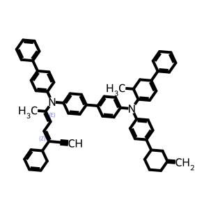 C#C/C(=C\C=C(/C)N(c1ccc(-c2ccccc2)cc1)c1ccc(-c2ccc(N(C3=CC=C(c4ccccc4)CC3C)c3ccc(C4CCCC(=C)C4)cc3)cc2)cc1)C1C=CC=CC1